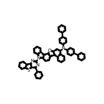 c1ccc(-c2ccc(N(c3ccc(-c4ccccc4)cc3)c3cc4oc5c(ccc6c5c5ccccc5n6-c5nc(-c6ccccc6)c6sc7ccccc7c6n5)c4c4ccccc34)cc2)cc1